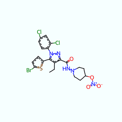 CCc1c(C(=O)NN2CCC(O[N+](=O)[O-])CC2)nn(-c2ccc(Cl)cc2Cl)c1-c1ccc(Br)s1